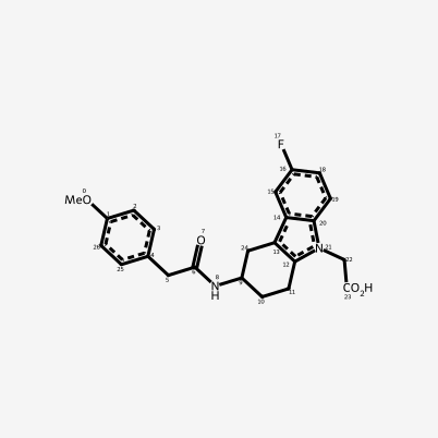 COc1ccc(CC(=O)NC2CCc3c(c4cc(F)ccc4n3CC(=O)O)C2)cc1